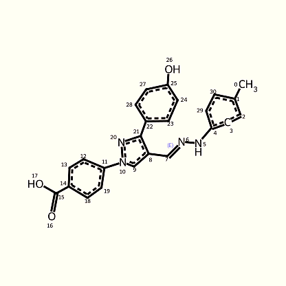 Cc1ccc(N/N=C/c2cn(-c3ccc(C(=O)O)cc3)nc2-c2ccc(O)cc2)cc1